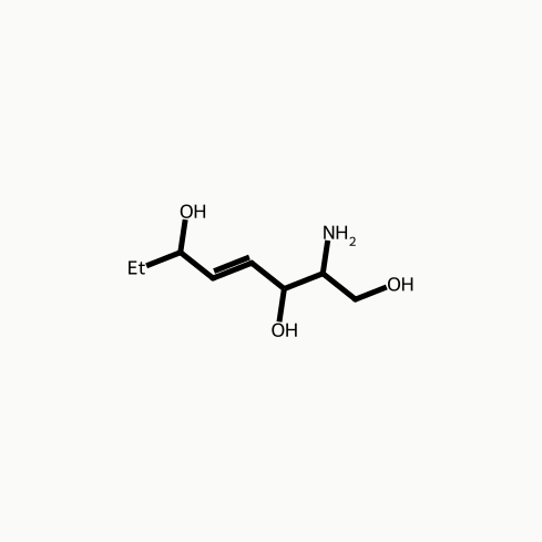 CCC(O)C=CC(O)C(N)CO